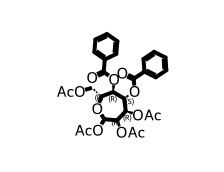 CC(=O)OC[C@H]1OC(OC(C)=O)[C@H](OC(C)=O)[C@H](OC(C)=O)[C@@H](OC(=O)c2ccccc2)[C@@H]1OC(=O)c1ccccc1